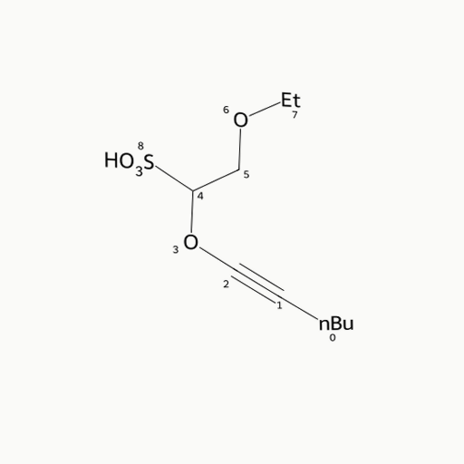 CCCCC#COC(COCC)S(=O)(=O)O